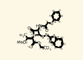 COC(C)=C(C(=O)OCC(Cl)(Cl)Cl)N1C(=O)C(NC(=O)COc2ccccc2)C1SSc1nc2ccccc2s1